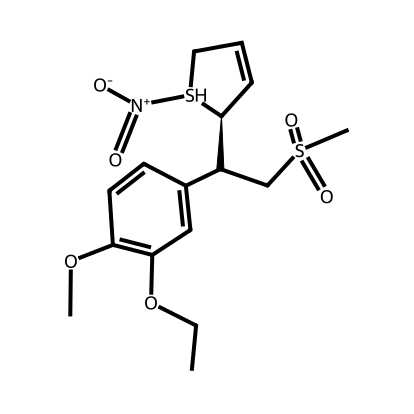 CCOc1cc(C(CS(C)(=O)=O)[C@@H]2C=CC[SH]2[N+](=O)[O-])ccc1OC